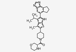 Cc1c(C2CCN(C(=O)[C@@H]3COCCN3)CC2)sc2[nH]c(-c3cn4ncnc4c4c3CCC4)c(C(C)C)c12